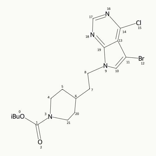 CC(C)COC(=O)N1CCC(CCn2cc(Br)c3c(Cl)ncnc32)CC1